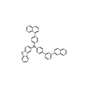 c1cc(-c2ccc(N(c3ccc(-c4cccc5ccccc45)cc3)c3ccc4sc5ccccc5c4c3)cc2)cc(-c2ccc3ccccc3c2)c1